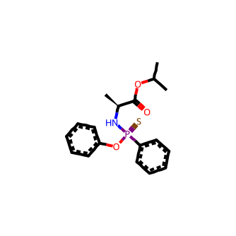 CC(C)OC(=O)[C@H](C)NP(=S)(Oc1ccccc1)c1ccccc1